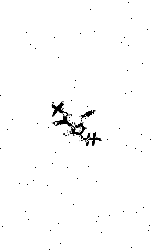 C[C@H]1[C@H](O[Si](C)(C)C(C)(C)C)C[C@@H](CC#N)N1C(=O)OC(C)(C)C